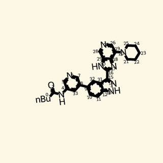 CCCCC(=O)Nc1cncc(-c2ccc3[nH]nc(-c4nc5c(N6CCCCC6)cncc5[nH]4)c3c2)c1